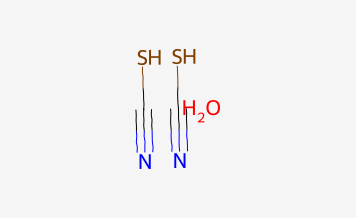 N#CS.N#CS.O